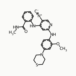 [C-]#[N+]c1cnc(Nc2ccc(N3CCSCC3)cc2OC)cc1Nc1ccccc1C(=O)NC